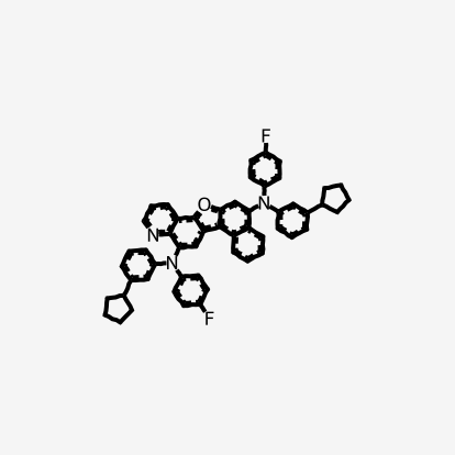 Fc1ccc(N(c2cccc(C3CCCC3)c2)c2cc3oc4c5cccnc5c(N(c5ccc(F)cc5)c5cccc(C6CCCC6)c5)cc4c3c3ccccc23)cc1